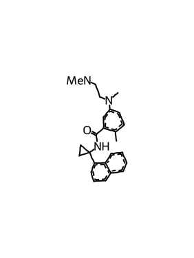 CNCCN(C)c1ccc(C)c(C(=O)NC2(c3cccc4ccccc34)CC2)c1